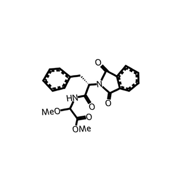 COC(=O)C(NC(=O)[C@H](Cc1ccccc1)N1C(=O)c2ccccc2C1=O)OC